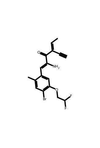 C#C/C(=C\C)C(=O)/C(N)=C/c1cc(OCC(F)F)c(Br)cc1C